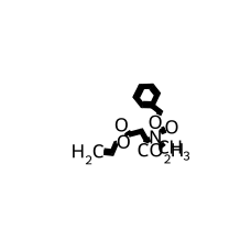 C=CCOC(=O)CC(C(=O)O)N(C)C(=O)OCc1ccccc1